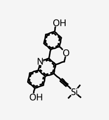 C[Si](C)(C)C#Cc1c2c(nc3ccc(O)cc13)-c1ccc(O)cc1OC2